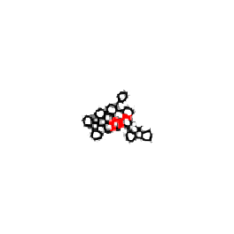 CC1(C)c2ccccc2-c2cccc(-c3cccc(N(c4cccc(-c5ccccc5)c4-c4ccccc4-c4ccccc4)c4cccc5c4-c4ccccc4C54c5ccccc5-c5ccccc54)c3)c21